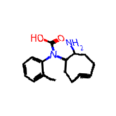 Cc1ccccc1N(C(=O)O)C1CC/C=C/CCC1N